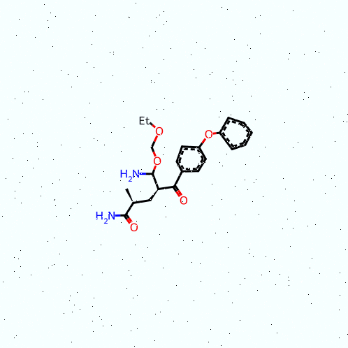 CCOCOC(N)[C@H](C[C@H](C)C(N)=O)C(=O)c1ccc(Oc2ccccc2)cc1